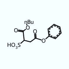 CCCCOC(=O)C(CC(=O)Oc1ccccc1)S(=O)(=O)O